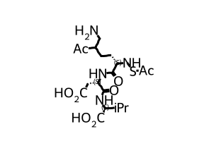 CC(=O)SN[C@@H](CCC(CN)C(C)=O)C(=O)N[C@@H](CC(=O)O)C(=O)N[C@H](C(=O)O)C(C)C